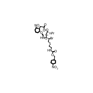 CCC[C@@H](OOC(=O)Cc1ccccc1[N+](=O)[O-])[C@H]1C(=O)N[C@@H]1C(Br)CSCCNC(=O)OCc1ccc([N+](=O)[O-])cc1